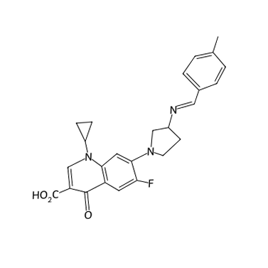 Cc1ccc(C=NC2CCN(c3cc4c(cc3F)c(=O)c(C(=O)O)cn4C3CC3)C2)cc1